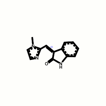 Cn1ccnc1/C=C1\C(=O)Nc2ccccc21